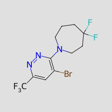 FC1(F)CCCN(c2nnc(C(F)(F)F)cc2Br)CC1